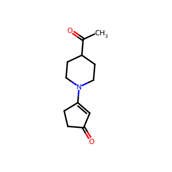 CC(=O)C1CCN(C2=CC(=O)CC2)CC1